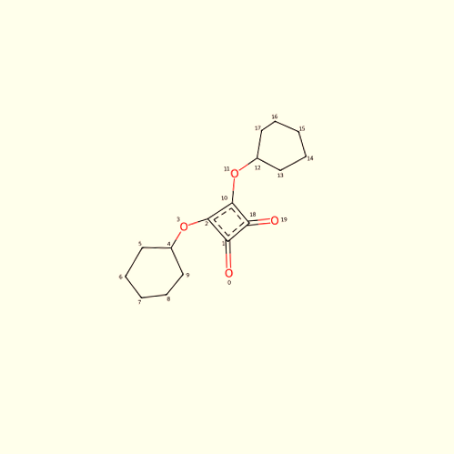 O=c1c(OC2CCCCC2)c(OC2CCCCC2)c1=O